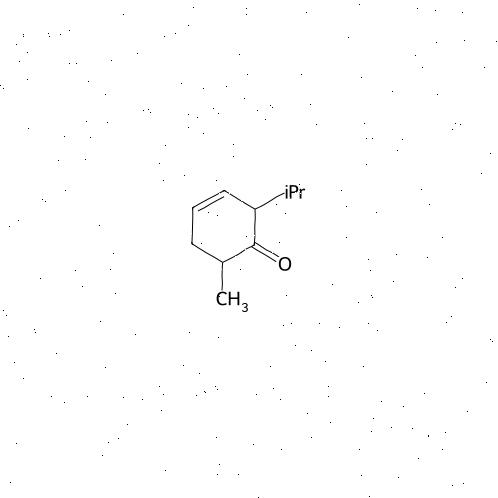 CC1CC=CC(C(C)C)C1=O